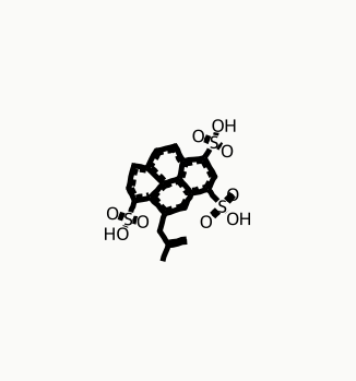 C=C(C)Cc1cc2c(S(=O)(=O)O)cc(S(=O)(=O)O)c3ccc4ccc(S(=O)(=O)O)c1c4c32